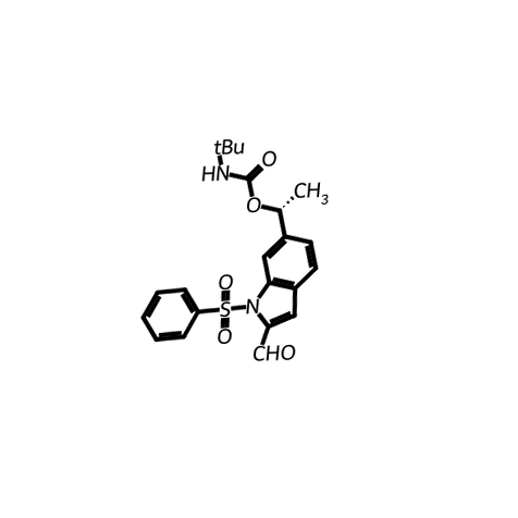 C[C@@H](OC(=O)NC(C)(C)C)c1ccc2cc(C=O)n(S(=O)(=O)c3ccccc3)c2c1